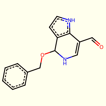 O=CC1=CNC(OCc2ccccc2)c2cc[nH]c21